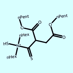 CCCCCC[N+](S)(CCCCCC)C(=S)C(CC(=O)OCCCCC)C(=O)OCCCCC